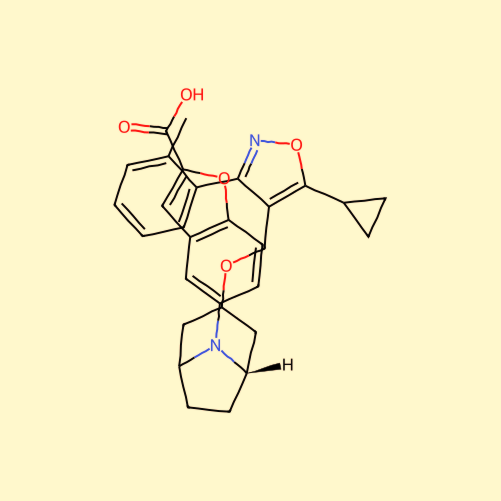 Cc1ccccc1-c1noc(C2CC2)c1COC1CC2CC[C@@H](C1)N2c1ccc2oc(C(=O)O)cc2c1